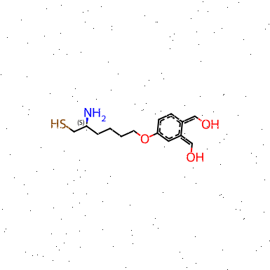 N[C@H](CS)CCCCOc1ccc(=CO)c(=CO)c1